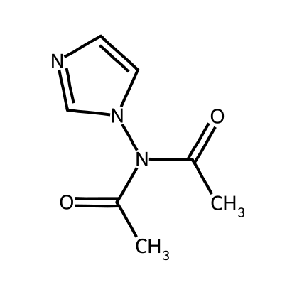 CC(=O)N(C(C)=O)n1ccnc1